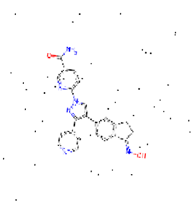 NC(=O)c1ccc(-n2cc(-c3ccc4c(c3)CC/C4=N\O)c(-c3ccncc3)n2)nc1